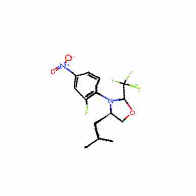 CC(C)C[C@@H]1COC(C(F)(F)F)N1c1ccc([N+](=O)[O-])cc1F